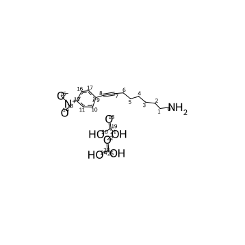 NCCCCCCC#Cc1ccc([N+](=O)[O-])cc1.O=C(O)O.O=C(O)O